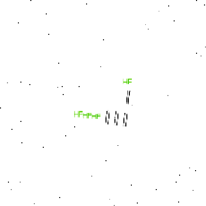 C=C.C=C.C=C.C=C.F.F.F.F